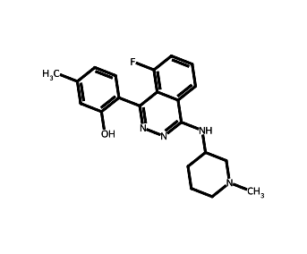 Cc1ccc(-c2nnc(NC3CCCN(C)C3)c3cccc(F)c23)c(O)c1